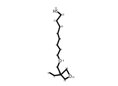 CCC1(COCCCCCCCCS)COC1